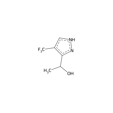 CC(O)c1n[nH]cc1C(F)(F)F